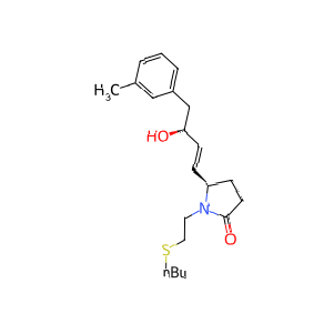 CCCCSCCN1C(=O)CC[C@@H]1/C=C/[C@@H](O)Cc1cccc(C)c1